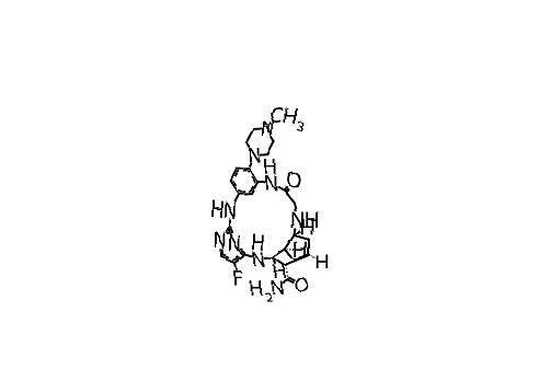 CN1CCN(c2ccc3cc2NC(=O)CN[C@@H]2C[C@@H]4C[C@H]2[C@@H](Nc2nc(ncc2F)N3)[C@H]4C(N)=O)CC1